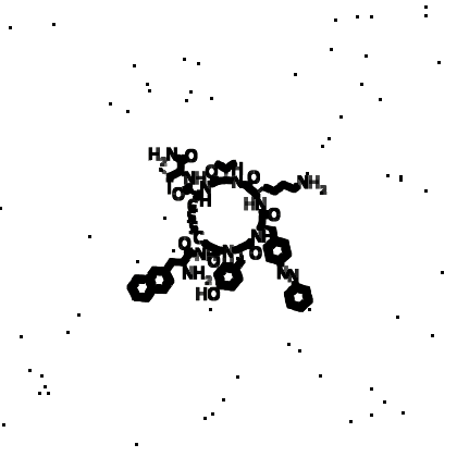 CC(C)[C@@H]1NC(=O)[C@H](CCCCN)NC(=O)[C@@H](Cc2ccc(/N=N/c3ccccc3)cc2)NC(=O)[C@H](Cc2ccc(O)cc2)NC(=O)[C@@H](NC(=O)[C@H](N)Cc2ccc3ccccc3c2)CSSC[C@@H](C(=O)N[C@H](C(N)=O)[C@@H](C)I)NC1=O